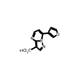 O=C(O)c1cnn2c(-c3ccoc3)ccnc12